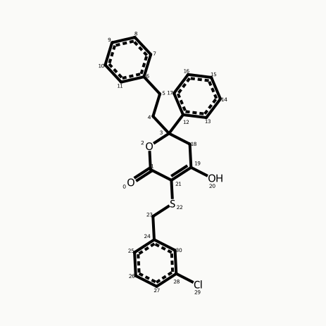 O=C1OC(CCc2ccccc2)(c2ccccc2)CC(O)=C1SCc1cccc(Cl)c1